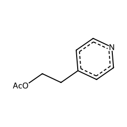 CC(=O)OCCc1ccncc1